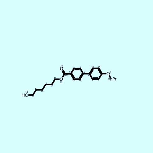 CCCOc1ccc(-c2ccc(C(=O)OCCCCCCO)cc2)cc1